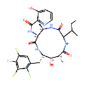 CCC(C)C1NC(=O)[C@H](C)[C@H](O)[C@H](Cc2cc(F)c(F)c(F)c2F)NC(=O)[C@@H](NC(=O)c2ncccc2O)[C@@H](C)NC1=O